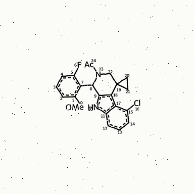 COc1cccc(F)c1C1c2[nH]c3cccc(Cl)c3c2C2(CC2)CN1C(C)=O